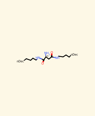 CCCCCCCCCCCCCCNC(=O)C[C@H](N)C(=O)NCCCCCCCCCCCCCC